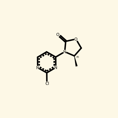 C[C@@H]1COC(=O)N1c1ccnc(Cl)n1